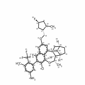 Cc1cc(N)nc(-c2c(Cl)c3c4c(nc(OC[C@@H]5C[C@@H](F)CN5C)nc4c2F)N2C[C@H]4CC[C@H](N4)[C@H]2[C@H](C)O3)c1C(F)(F)F